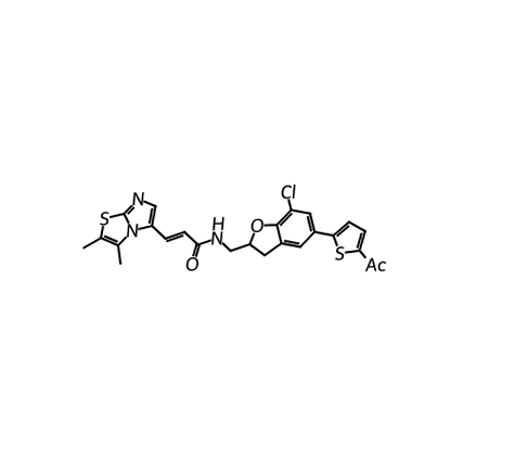 CC(=O)c1ccc(-c2cc(Cl)c3c(c2)CC(CNC(=O)C=Cc2cnc4sc(C)c(C)n24)O3)s1